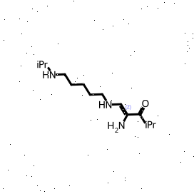 CC(C)NCCCCCN/C=C(\N)C(=O)C(C)C